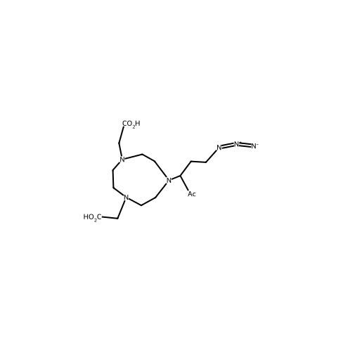 CC(=O)C(CCN=[N+]=[N-])N1CCN(CC(=O)O)CCN(CC(=O)O)CC1